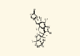 [2H]c1[nH]c2c([2H])c([2H])c(C[C@H]3COC(=O)N3)c([2H])c2c1C([2H])([2H])C([2H])([2H])N(C([2H])([2H])[2H])C([2H])([2H])[2H]